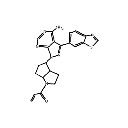 C=CC(=O)N1CCC2C1CCC2n1nc(-c2ccc3ncsc3c2)c2c(N)ncnc21